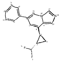 FC(F)[C@H]1C[C@@H]1c1cc(-c2cncnc2)nn2cncc12